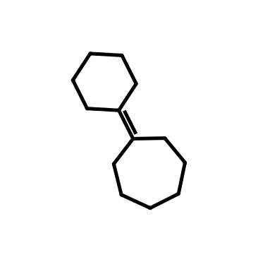 C1CCCC(=C2CCCCC2)CC1